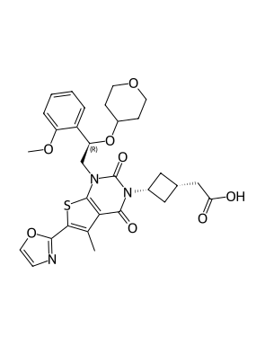 COc1ccccc1[C@H](Cn1c(=O)n([C@H]2C[C@@H](CC(=O)O)C2)c(=O)c2c(C)c(-c3ncco3)sc21)OC1CCOCC1